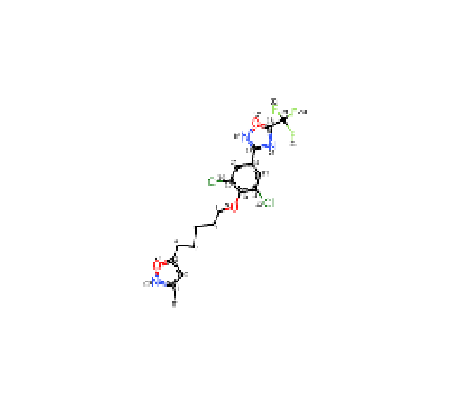 Cc1cc(CCCCCOc2c(Cl)cc(-c3noc(C(F)(F)F)n3)cc2Cl)on1